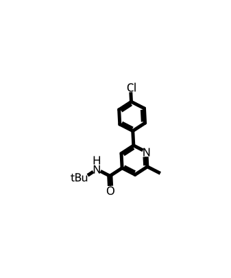 Cc1cc(C(=O)NC(C)(C)C)cc(-c2ccc(Cl)cc2)n1